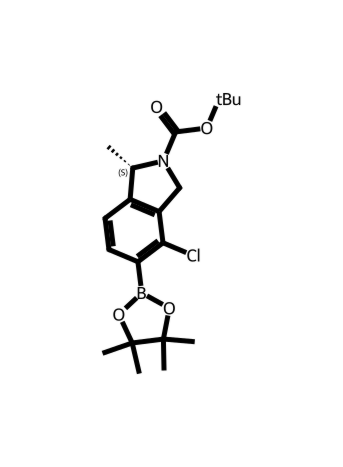 C[C@H]1c2ccc(B3OC(C)(C)C(C)(C)O3)c(Cl)c2CN1C(=O)OC(C)(C)C